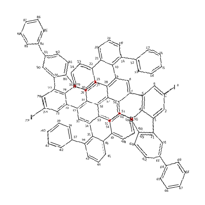 Ic1cc2c3c(c1)-c1cc(-c4c(-c5ccccc5)cccc4-c4ccccc4)c4cc5c6c(cc(-c7c(-c8ccccc8)cccc7-c7ccccc7)c7cc(c1c4c76)B3c1ccc(-c3ccccc3)cc1-2)-c1cc(I)cc2c1B5c1ccc(-c3ccccc3)cc1-2